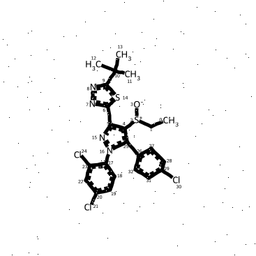 CC[S+]([O-])c1c(-c2nnc(C(C)(C)C)s2)nn(-c2ccc(Cl)cc2Cl)c1-c1ccc(Cl)cc1